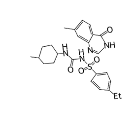 CCc1ccc(S(=O)(=O)NC(=O)NC2CCC(C)CC2)cc1.Cc1ccc2c(=O)[nH]cnc2c1